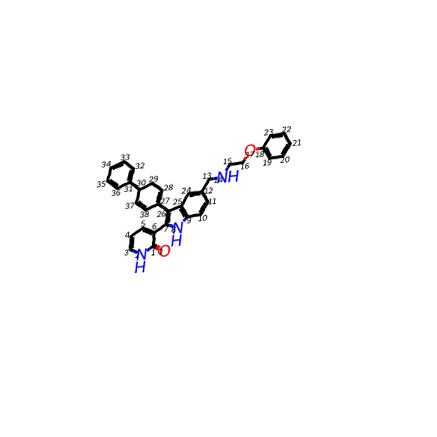 O=c1[nH]cccc1-c1[nH]c2ccc(CNCCOc3ccccc3)cc2c1C1=CCC(c2ccccc2)C=C1